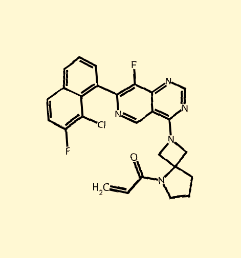 C=CC(=O)N1CCCC12CN(c1ncnc3c(F)c(-c4cccc5ccc(F)c(Cl)c45)ncc13)C2